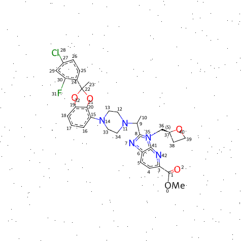 COC(=O)c1ccc2nc(C(C)N3CCN(c4cccc5c4OC(C)(c4ccc(Cl)cc4F)O5)CC3)n(C[C@@H]3CCO3)c2n1